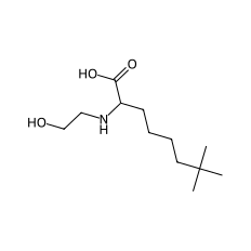 CC(C)(C)CCCCC(NCCO)C(=O)O